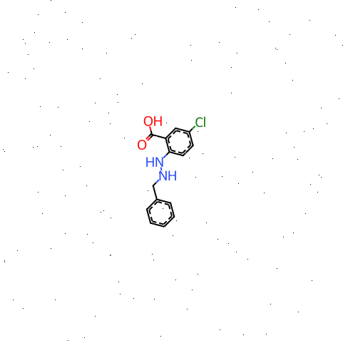 O=C(O)c1cc(Cl)ccc1NNCc1ccccc1